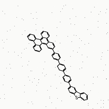 C1=C(c2ccc(-c3ccc4sc5ccccc5c4c3)cc2)CCC(c2ccc(-c3ccc4c5ccccc5c5c6ccccc6c6ccccc6c5c4c3)cc2)=C1